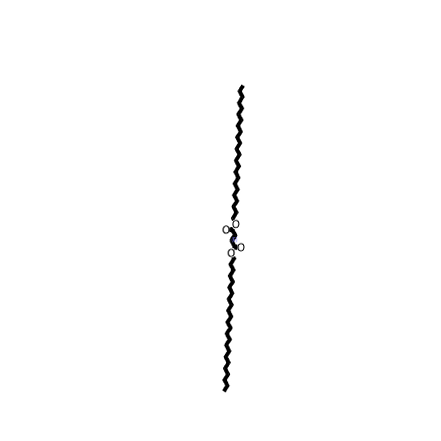 CCCCCCCCCCCCCCCCCCCCCCCCOC(=O)/C=C/C(=O)OCCCCCCCCCCCCCCCCCCCCCCCC